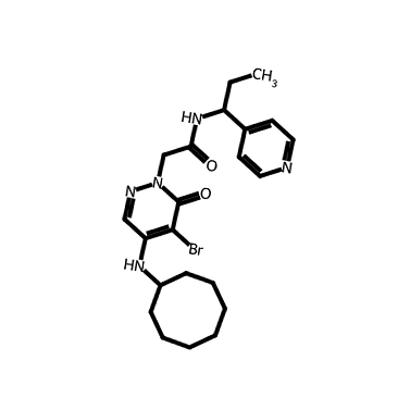 CCC(NC(=O)Cn1ncc(NC2CCCCCCC2)c(Br)c1=O)c1ccncc1